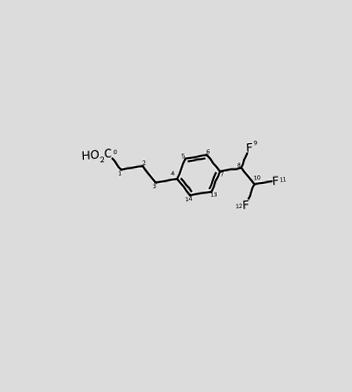 O=C(O)CCCc1ccc(C(F)C(F)F)cc1